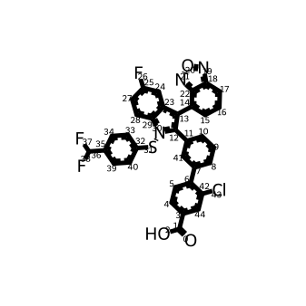 O=C(O)c1ccc(-c2cccc(-c3c(-c4cccc5nonc45)c4cc(F)ccc4n3Sc3ccc(C(F)F)cc3)c2)c(Cl)c1